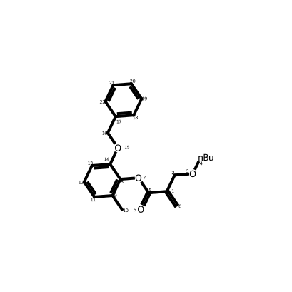 C=C(COCCCC)C(=O)Oc1c(C)cccc1OCc1ccccc1